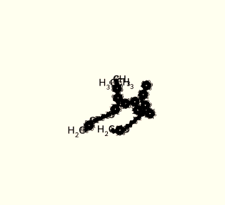 C=Cc1ccc(OCCCCCCCCC2(c3ccccc3)c3ccccc3-c3ccc(N(c4ccc(-c5ccccc5)cc4)c4ccc(-c5ccc6c(c5)c5cc(-c7ccc(C(C)(C)C)cc7)ccc5n6-c5ccc(OCCCCCCOc6ccc(C=C)cc6)cc5)cc4)cc32)cc1